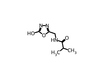 CC(C)C(=O)NCc1nnc(O)o1